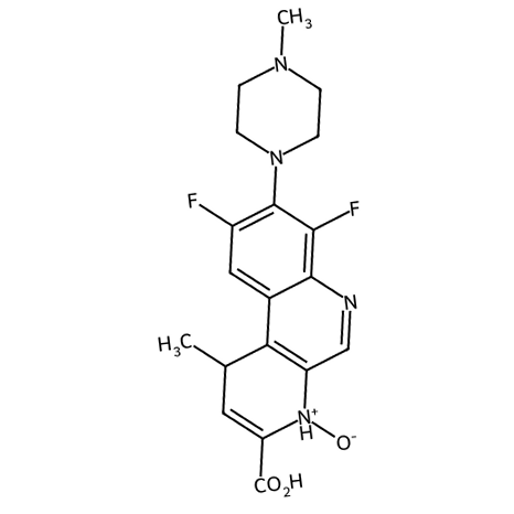 CC1C=C(C(=O)O)[NH+]([O-])c2cnc3c(F)c(N4CCN(C)CC4)c(F)cc3c21